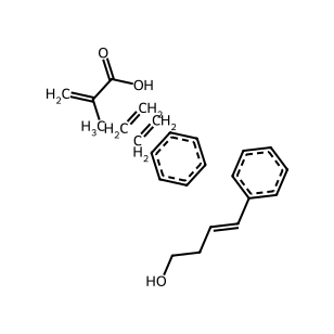 C=C.C=C.C=C(C)C(=O)O.OCCC=Cc1ccccc1.c1ccccc1